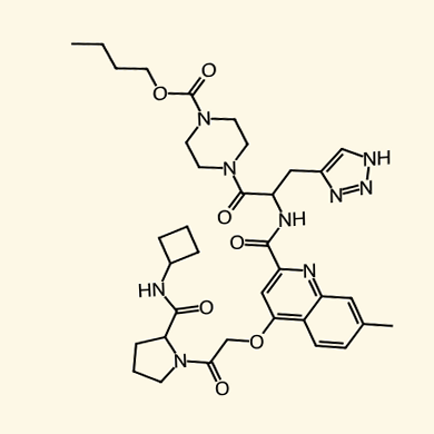 CCCCOC(=O)N1CCN(C(=O)C(Cc2c[nH]nn2)NC(=O)c2cc(OCC(=O)N3CCCC3C(=O)NC3CCC3)c3ccc(C)cc3n2)CC1